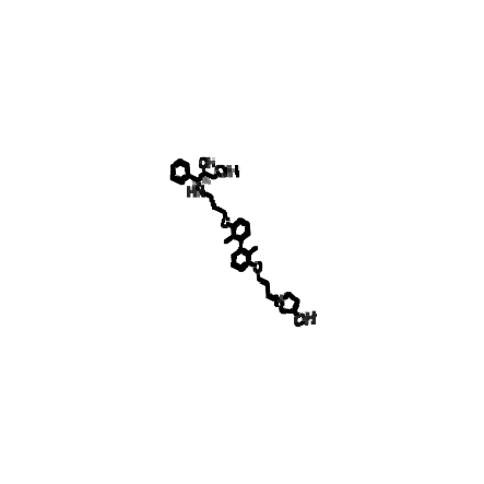 Cc1c(OCCCN[C@@H](c2ccccc2)[C@H](O)CO)cccc1-c1cccc(OCCCN2CCC(O)C2)c1C